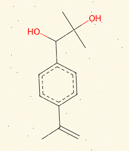 C=C(C)c1ccc(C(O)C(C)(C)O)cc1